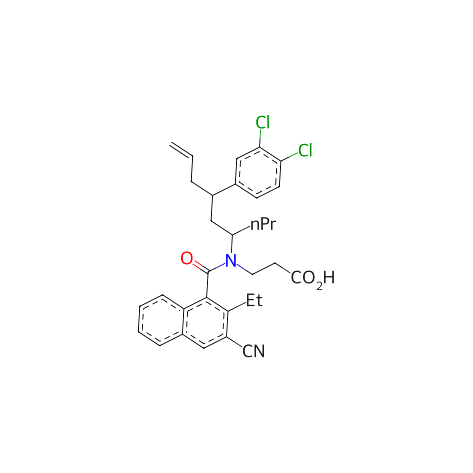 C=CCC(CC(CCC)N(CCC(=O)O)C(=O)c1c(CC)c(C#N)cc2ccccc12)c1ccc(Cl)c(Cl)c1